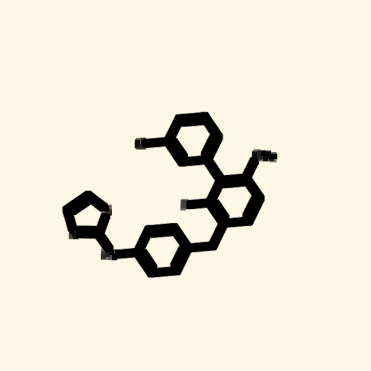 COc1ccc(Cc2ccc(Nc3nccs3)cc2)c(F)c1-c1cccc(Cl)c1